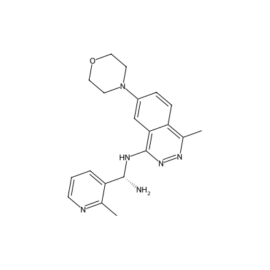 Cc1ncccc1[C@@H](N)Nc1nnc(C)c2ccc(N3CCOCC3)cc12